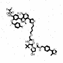 Cc1ncsc1-c1ccc(CNC(=O)[C@@H]2C[C@@H](O)CN2C(=O)[C@@H](NC(=O)COCCCCn2cc(-c3cnc(N)c4c(-c5ccc(NS(=O)(=O)C(F)F)c(O[C@@H](C)c6ccc(F)cc6)c5)nn(C)c34)cn2)C(C)(C)C)cc1